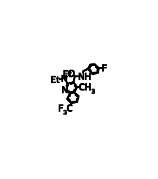 CCN(CC)c1nc2cc(C(F)(F)F)ccc2c(C)c1C(=O)NCc1ccc(F)cc1